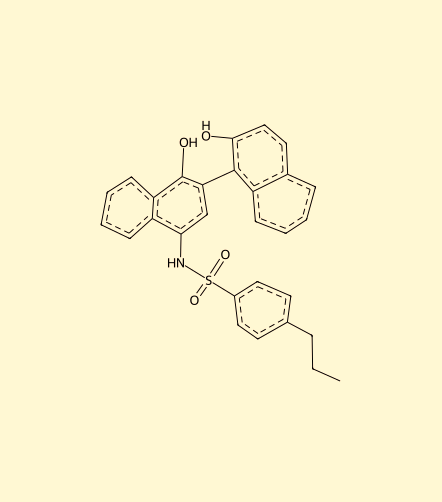 CCCc1ccc(S(=O)(=O)Nc2cc(-c3c(O)ccc4ccccc34)c(O)c3ccccc23)cc1